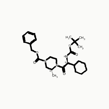 C[C@@H]1CN(C(=O)OCc2ccccc2)CCN1C(=O)[C@@H](NC(=O)OC(C)(C)C)C1CCCCC1